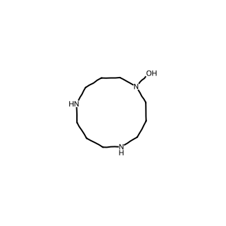 ON1CCCNCCCNCCC1